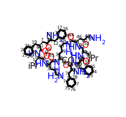 CC(C)C[C@@H](NC(=O)[C@H](CC(=O)[C@H](N)Cc1ccccc1)Cc1ccccc1)C(=O)N[C@H](CCCN)C(=O)N[C@@H](CCCCNC(=O)[C@@H](CCCN)NC(=O)[C@@H](CC(C)C)NC(=O)[C@@H](Cc1ccccc1)NC(=O)[C@H](N)Cc1ccccc1)C(=O)O